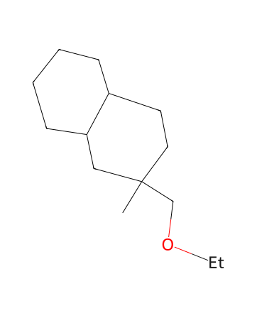 CCOCC1(C)CCC2CCCCC2C1